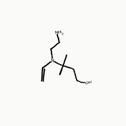 C=CN(CCN)C(C)(C)CCO